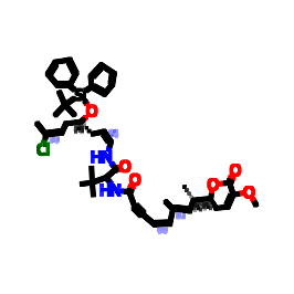 COC1=CC[C@@H]([C@@H](C)/C=C(C)/C=C\C#CC(=O)NC(C(=O)N/C=C\C[C@H](C/C=C(\C)Cl)O[Si](c2ccccc2)(c2ccccc2)C(C)(C)C)C(C)(C)C)OC1=O